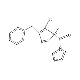 CCC1=C(Cc2ccccc2)N=C[N+]1(C)C(=O)n1ccnc1